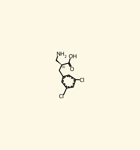 NC[C@H](Cc1cc(Cl)cc(Cl)c1)C(=O)O